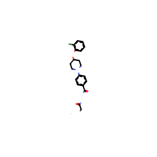 CC(=O)OCC(=O)NNC(=O)c1ccc(N2CCC(Oc3ccccc3Cl)CC2)cc1